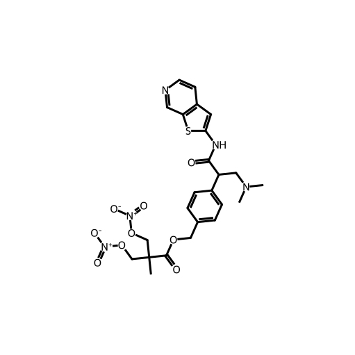 CN(C)CC(C(=O)Nc1cc2ccncc2s1)c1ccc(COC(=O)C(C)(CO[N+](=O)[O-])CO[N+](=O)[O-])cc1